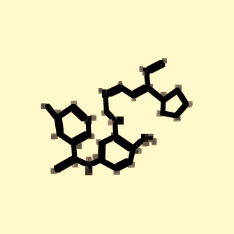 C=N/C(=C\C=N/CNc1cc(NC(=C)c2cncc(C)c2)ccc1N)C1CCCC1